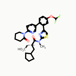 CN(C(=O)[C@@H](CC(=O)O)CC1CCCC1)c1nc(-c2cc(OC(F)F)ccc2-c2ccc(N3CCCCC3=O)nc2)cs1